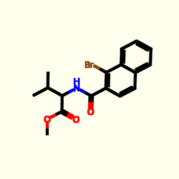 COC(=O)C(NC(=O)c1ccc2ccccc2c1Br)C(C)C